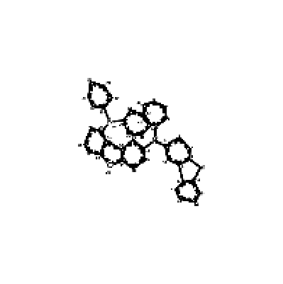 c1ccc(N(c2ccc3c(c2)-c2ccccc2C3)c2ccc3oc4cccc(N(c5ccccc5)c5ccccc5)c4c3c2)cc1